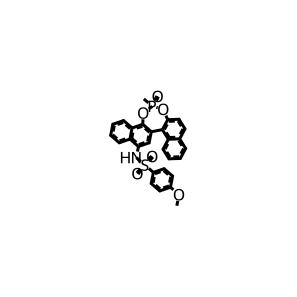 COc1ccc(S(=O)(=O)Nc2cc3c(c4ccccc24)OP(C)(=O)Oc2ccc4ccccc4c2-3)cc1